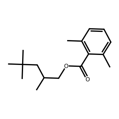 Cc1cccc(C)c1C(=O)OCC(C)CC(C)(C)C